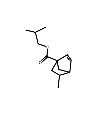 CC(C)COC(=O)C12C=CC(C1)C(C)C2